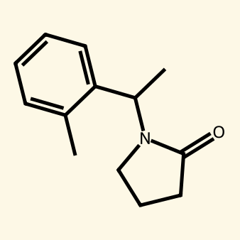 Cc1ccccc1C(C)N1CCCC1=O